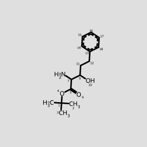 CC(C)(C)OC(=O)C(N)C(O)CCc1ccccc1